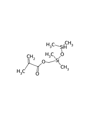 C=C(C)C(=O)OC[Si](C)(C)O[SiH](C)C